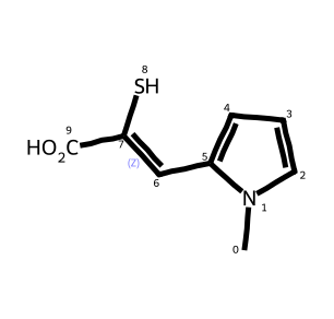 Cn1cccc1/C=C(\S)C(=O)O